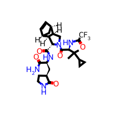 CC(C)(C1CC1)[C@H](NC(=O)C(F)(F)F)C(=O)N1C[C@H]2[C@@H]([C@H]1C(=O)N[C@@H](C[C@@H]1CCNC1=O)C(N)=O)[C@H]1C=C[C@@H]2C1